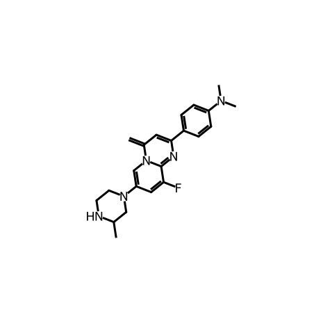 C=C1C=C(c2ccc(N(C)C)cc2)N=C2C(F)=CC(N3CCNC(C)C3)=CN12